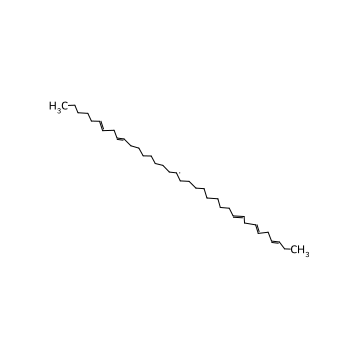 CCC=CCC=CCC=CCCCCCCCC[CH]CCCCCCCC=CCC=CCCCCC